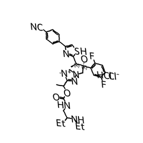 CCNC(CC)CNC(=O)OC(C)C1=NN(C[C@](O)(c2cc(F)ccc2F)[C@@H](C)c2nc(-c3ccc(C#N)cc3)cs2)C=[N+]1.Cl.[Cl-]